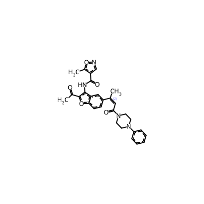 CC(=O)c1oc2ccc(/C(C)=C\C(=O)N3CCN(c4ccccc4)CC3)cc2c1NC(=O)c1cnoc1C